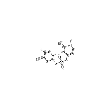 Cc1ccc(CS(=O)(=O)Cc2ccc(C)c(Br)c2)cc1Br